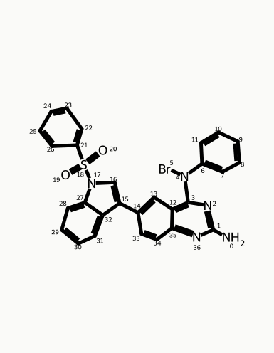 Nc1nc(N(Br)c2ccccc2)c2cc(-c3cn(S(=O)(=O)c4ccccc4)c4ccccc34)ccc2n1